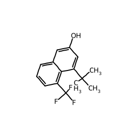 CC(C)(C)c1cc(O)cc2cccc(C(F)(F)F)c12